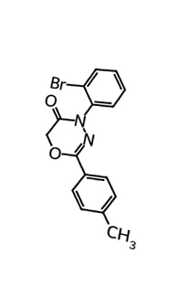 Cc1ccc(C2=NN(c3ccccc3Br)C(=O)CO2)cc1